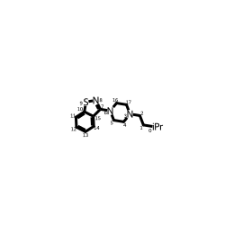 CC(C)CCN1CCN(c2nsc3ccccc23)CC1